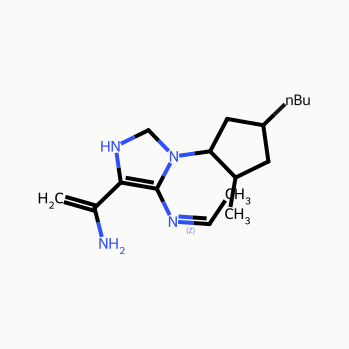 C=C(N)C1=C(/N=C\C)N(C2CC(CCCC)CC2C)CN1